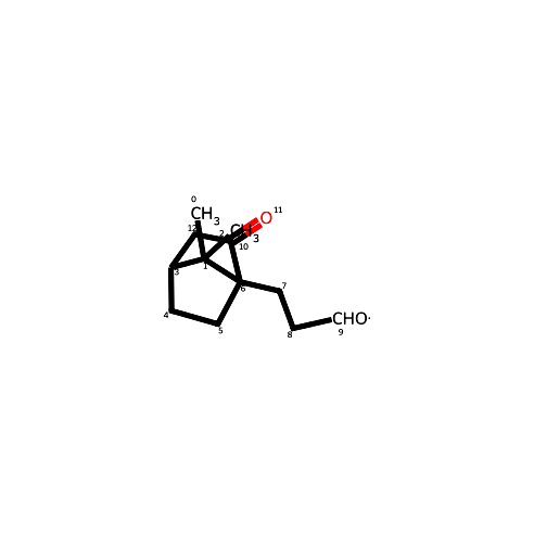 CC1(C)C2CCC1(CC[C]=O)C(=O)C2